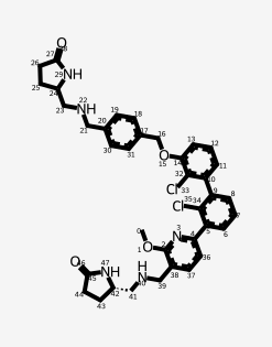 COc1nc(-c2cccc(-c3cccc(OCc4ccc(CNCC5CCC(=O)N5)cc4)c3Cl)c2Cl)ccc1CNC[C@@H]1CCC(=O)N1